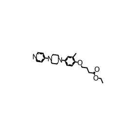 CCOC(=O)CCCOc1ccc(N2CCN(c3ccncc3)CC2)cc1C